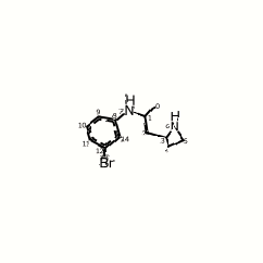 CC(CC1CCN1)Nc1cccc(Br)c1